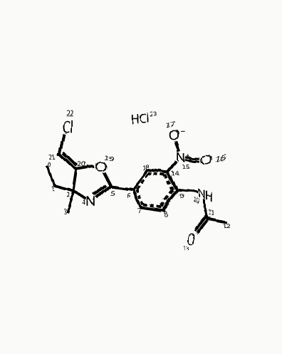 CCC1(C)N=C(c2ccc(NC(C)=O)c([N+](=O)[O-])c2)OC1=CCl.Cl